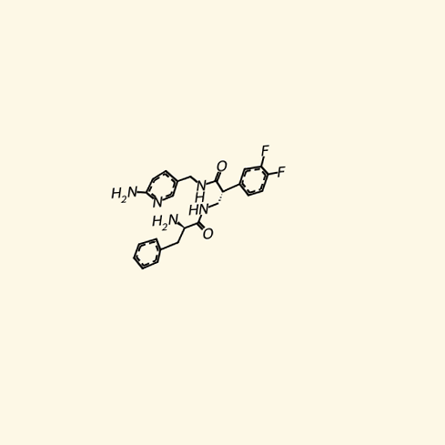 Nc1ccc(CNC(=O)[C@@H](CNC(=O)[C@H](N)Cc2ccccc2)c2ccc(F)c(F)c2)cn1